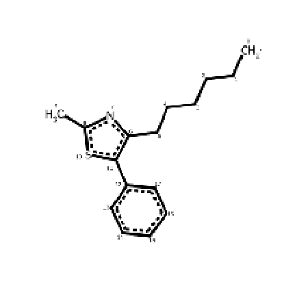 [CH2]CCCCCc1nc(C)sc1-c1ccccc1